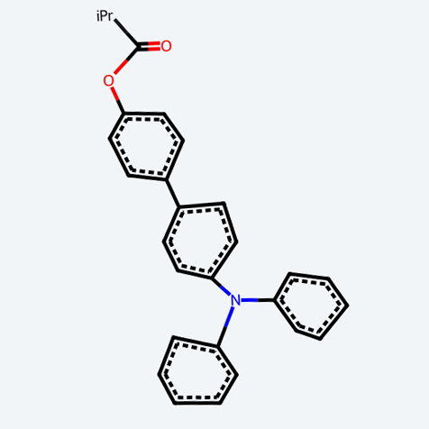 CC(C)C(=O)Oc1ccc(-c2ccc(N(c3ccccc3)c3ccccc3)cc2)cc1